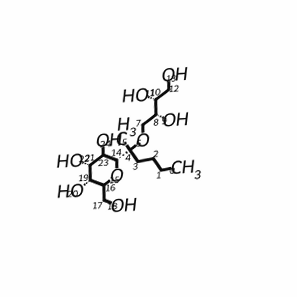 CCCCC(C)(OC[C@@H](O)[C@H](O)CO)[C@@H]1OC(CO)[C@H](O)[C@H](O)C1O